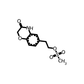 CS(=O)(=O)OCCc1ccc2c(c1)NC(=O)CO2